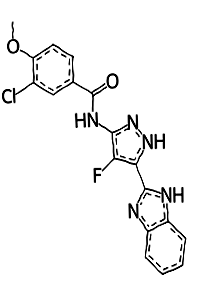 COc1ccc(C(=O)Nc2n[nH]c(-c3nc4ccccc4[nH]3)c2F)cc1Cl